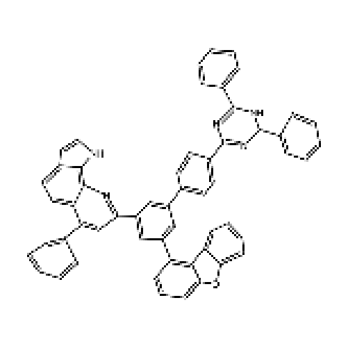 c1ccc(C2=NC(c3ccc(-c4cc(-c5cc(-c6ccccc6)c6ccc7cc[nH]c7c6n5)cc(-c5cccc6oc7ccccc7c56)c4)cc3)=NC(c3ccccc3)N2)cc1